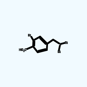 CCc1cc(CN(CC)CC)ccc1C(=O)O